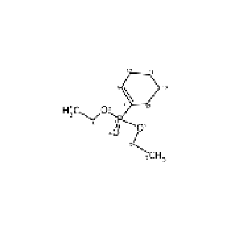 CCOP(=O)(OCC)C1=CCCCC1